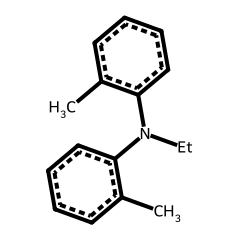 CCN(c1ccccc1C)c1ccccc1C